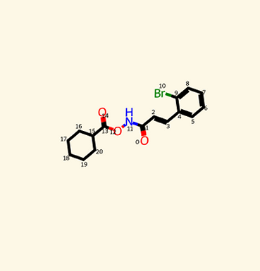 O=C(C=Cc1ccccc1Br)NOC(=O)C1CCCCC1